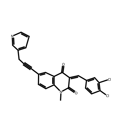 CN1C(=O)/C(=C\c2ccc(Cl)c(Cl)c2)C(=O)c2cc(C#CCc3cccnc3)ccc21